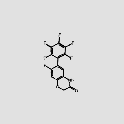 O=C1COc2cc(F)c(-c3c(F)c(F)c(F)c(F)c3F)cc2N1